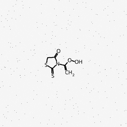 C=C(OO)N1C(=O)CSC1=S